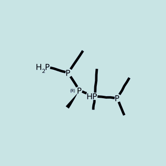 CP(P)[P@](C)[PH](C)(C)P(C)C